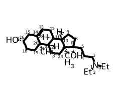 CCN(CC)CCC[C@]1(O)CC[C@H]2[C@@H]3CC=C4C[C@@H](O)CC[C@]4(C)[C@H]3CC[C@@]21C